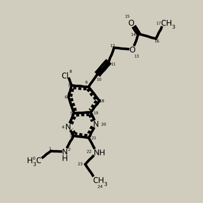 CCNc1nc2cc(Cl)c(C#CCOC(=O)CC)cc2nc1NCC